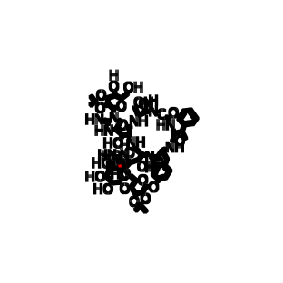 CC(c1ccccc1)C1NC(=O)CNC(=O)C(CO)NC(=O)C(C(O)C2CN(C3OC(CO)C(O)C4OC(C)(C)OC43)C(=N)N2)NC(=O)C(C(O)C2CNC(=N)N2)NC(=O)C(Cc2ccc(OC3OC(CO)C(OC4OC(CO)C(O)C(O)C4O)C4OC(C)(C)OC34)cc2)NC1=O